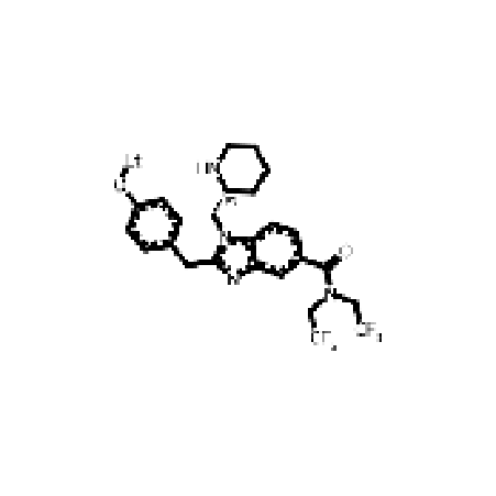 CCOc1ccc(Cc2nc3cc(C(=O)N(CC(F)(F)F)CC(F)(F)F)ccc3n2C[C@H]2CCCCN2)cc1